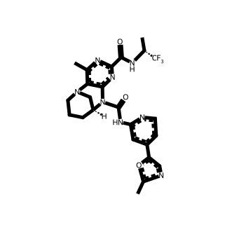 Cc1ncc(-c2ccnc(NC(=O)N3c4nc(C(=O)N[C@H](C)C(F)(F)F)nc(C)c4N4CCC[C@H]3C4)c2)o1